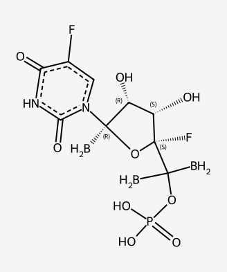 BC(B)(OP(=O)(O)O)[C@@]1(F)O[C@@](B)(n2cc(F)c(=O)[nH]c2=O)[C@H](O)[C@@H]1O